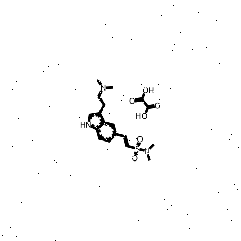 CN(C)CCc1c[nH]c2ccc(C=CS(=O)(=O)N(C)C)cc12.O=C(O)C(=O)O